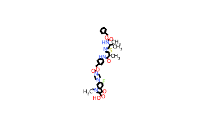 CCn1cc(C(=O)O)c(=O)c2cc(F)c(N3CCN(C(=O)OCc4ccc(NC(=O)[C@@H](C)c5cnc([C@@H](NC(=O)OCc6ccccc6)C(C)C)s5)cc4)CC3)cc21